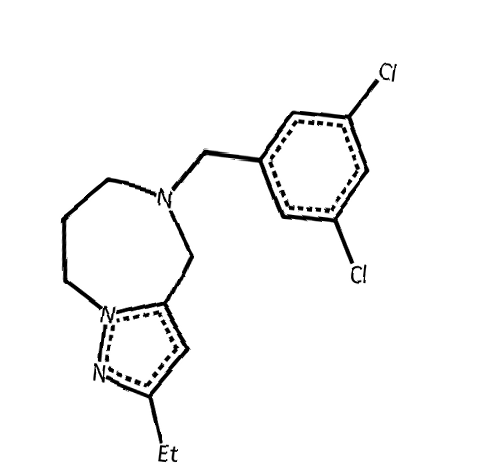 CCc1cc2n(n1)CCCN(Cc1cc(Cl)cc(Cl)c1)C2